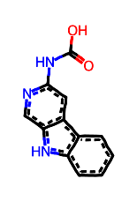 O=C(O)Nc1cc2c(cn1)[nH]c1ccccc12